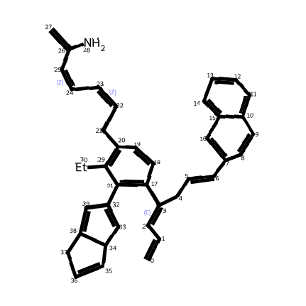 C=C/C=C(\CC=Cc1ccc2ccccc2c1)c1ccc(C/C=C\C=C/C(=C)N)c(CC)c1C1=CC2C=CCC2=C1